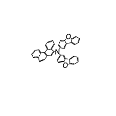 c1ccc2c(c1)ccc1cc(N(c3ccc4oc5ccccc5c4c3)c3ccc4oc5ccccc5c4c3)c3ccccc3c12